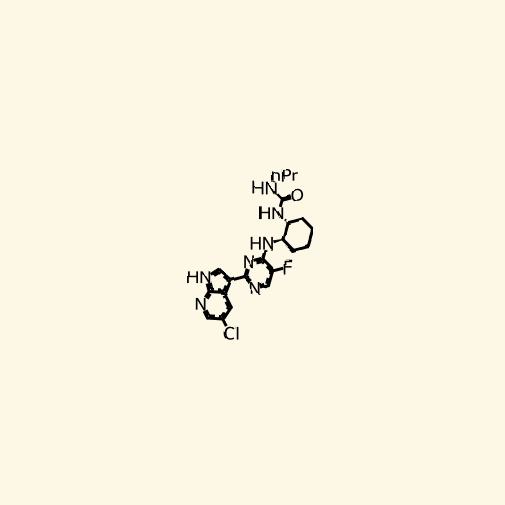 CCCNC(=O)N[C@@H]1CCCC[C@H]1Nc1nc(-c2c[nH]c3ncc(Cl)cc23)ncc1F